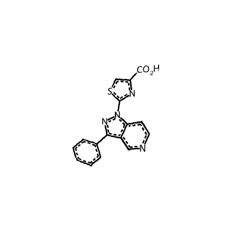 O=C(O)c1csc(-n2nc(-c3ccccc3)c3cnccc32)n1